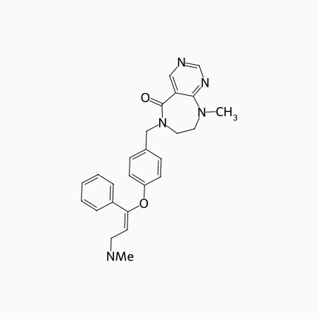 CNC/C=C(/Oc1ccc(CN2CCN(C)c3ncncc3C2=O)cc1)c1ccccc1